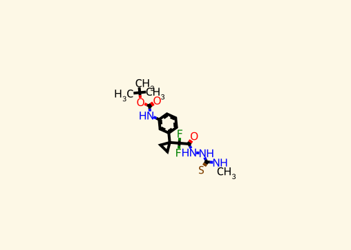 CNC(=S)NNC(=O)C(F)(F)C1(c2cccc(NC(=O)OC(C)(C)C)c2)CC1